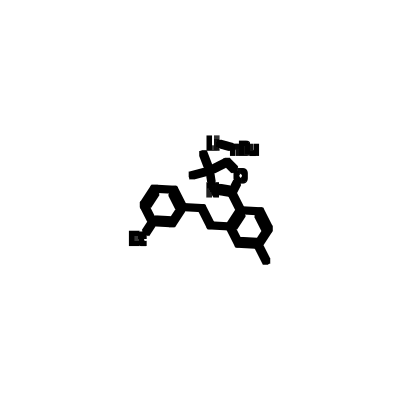 CCc1cccc(CCc2cc(C)ccc2C2=NC(C)(C)CO2)c1.[Li][CH2]CCC